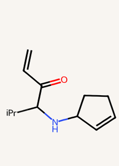 C=CC(=O)C(NC1C=CCC1)C(C)C